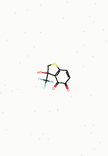 O=C1C=CC2=C(C1=O)C(O)(C(F)(F)F)CS2